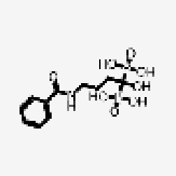 O=C(NCCCC(O)(P(=O)(O)O)P(=O)(O)O)c1ccccc1